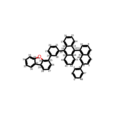 c1ccc(-c2ccc3cccc(-c4c5ccccc5c(-c5cccc(-c6cccc7c6oc6ccccc67)c5)c5ccccc45)c3c2)cc1